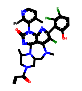 C=CC(=O)N1CC(C)N2c3nc(=O)n(-c4c(C)ccnc4C(C)C)c4nc(-c5c(O)ccc(F)c5F)c(F)c(c34)N(C)CC2C1